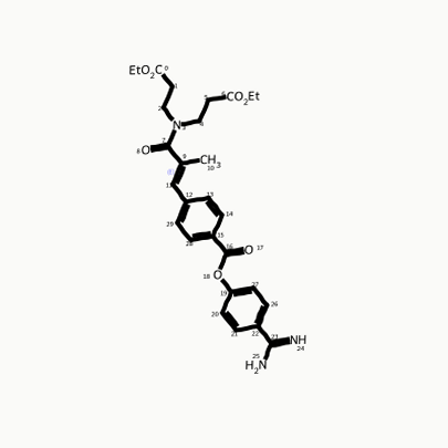 CCOC(=O)CCN(CCC(=O)OCC)C(=O)/C(C)=C/c1ccc(C(=O)Oc2ccc(C(=N)N)cc2)cc1